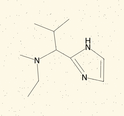 CCN(C)C(c1ncc[nH]1)C(C)C